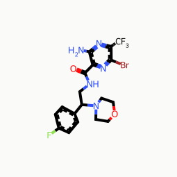 Nc1nc(C(F)(F)F)c(Br)nc1C(=O)NCC(c1ccc(F)cc1)N1CCOCC1